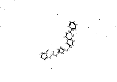 Cn1nccc1CNCc1cnc(Oc2ccc3c(c2)CCC(c2ccccc2)O3)s1